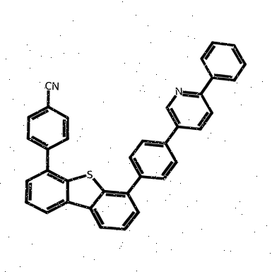 N#Cc1ccc(-c2cccc3c2sc2c(-c4ccc(-c5ccc(-c6ccccc6)nc5)cc4)cccc23)cc1